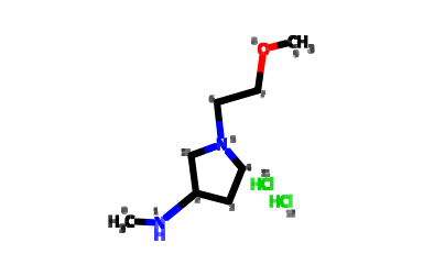 CNC1CCN(CCOC)C1.Cl.Cl